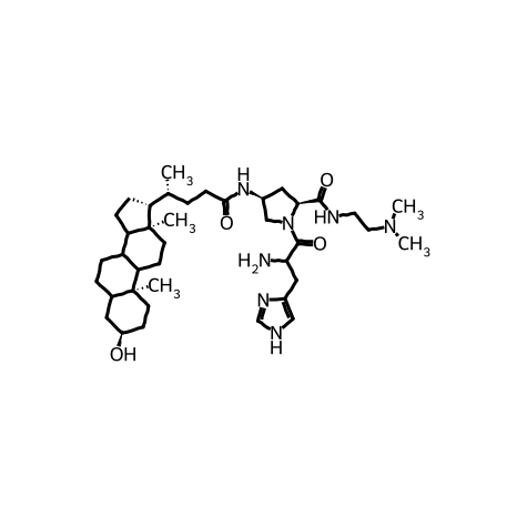 C[C@H](CCC(=O)N[C@H]1C[C@@H](C(=O)NCCN(C)C)N(C(=O)C(N)Cc2c[nH]cn2)C1)[C@H]1CCC2C3CCC4C[C@H](O)CC[C@]4(C)C3CC[C@@]21C